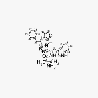 CC(C)(N)C(=O)NC(Cc1c[nH]c2ccccc12)c1nnc(CCc2ccccc2)n1Cc1ccco1